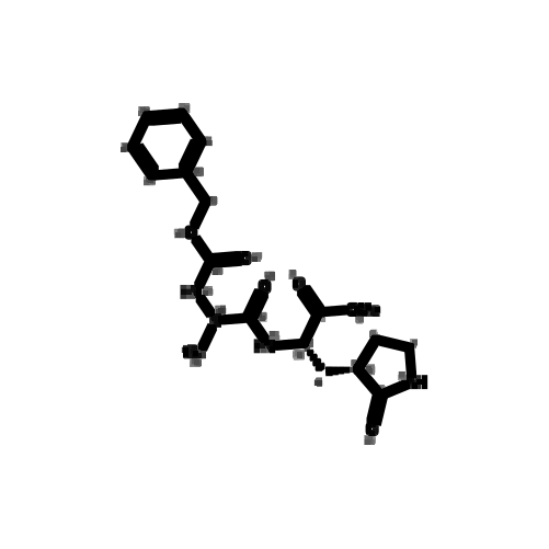 COC(=O)[C@H](C[C@@H]1CCNC1=O)NC(=O)N(NC(=O)OCc1ccccc1)C(C)(C)C